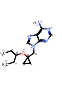 Nc1ncnc2c1ncn2CC1(O[C](CC(F)(F)F)CC(F)(F)F)CC1